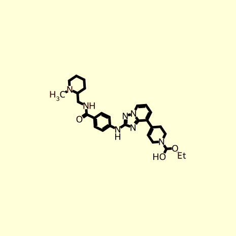 CCOC(O)N1CC=C(c2cccn3nc(Nc4ccc(C(=O)NCC5CCCCN5C)cc4)nc23)CC1